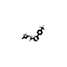 Cc1cc(NC(=O)c2cncc(-c3ccc(C(F)(F)F)cc3)n2)on1